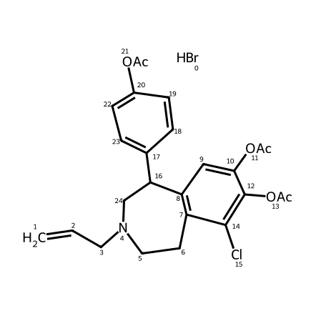 Br.C=CCN1CCc2c(cc(OC(C)=O)c(OC(C)=O)c2Cl)C(c2ccc(OC(C)=O)cc2)C1